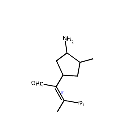 C/C(=C(\C=O)C1CC(C)C(N)C1)C(C)C